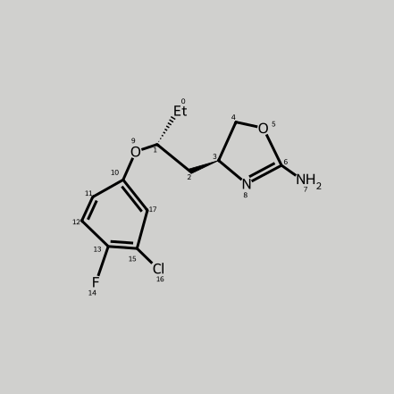 CC[C@H](C[C@H]1COC(N)=N1)Oc1ccc(F)c(Cl)c1